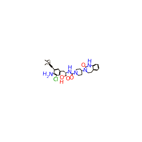 C[Si](C)(C)C#Cc1cc(C[C@@H](NC(=O)N2CCC(N3CCc4ccccc4NC3=O)CC2)C(=O)O)cc(Cl)c1N